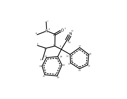 CC(C)C(C(=O)N(C)C)C(C#N)(c1ccccc1)c1ccccc1